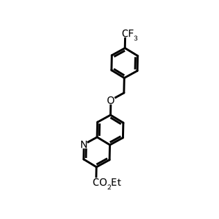 CCOC(=O)c1cnc2cc(OCc3ccc(C(F)(F)F)cc3)ccc2c1